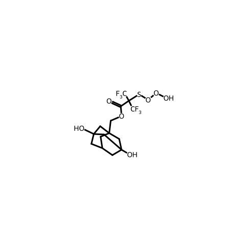 O=C(OCC12CC3CC(O)(CC(O)(C3)C1)C2)C(SOOO)(C(F)(F)F)C(F)(F)F